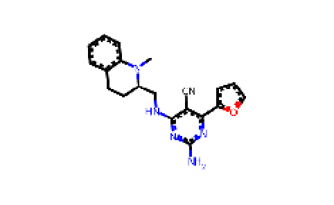 CN1c2ccccc2CCC1CNc1nc(N)nc(-c2ccco2)c1C#N